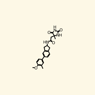 COc1ccc(-c2ccc3c(c2)CC(NC(=O)CC2(C)NC(=O)NC2=O)C3)cc1C